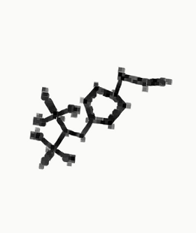 O=P(O)(O)C(Cc1ccc(N=C=S)cc1)P(=O)(O)O